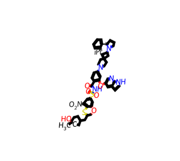 CC(C)c1ccccc1[C@H]1CCCN1C1CC2(CCN(c3ccc(C(=O)NS(=O)(=O)c4cc5c(c([N+](=O)[O-])c4)SC(CC4CCC(C)(O)CC4)CO5)c(Oc4cnc5[nH]ccc5c4)c3)CC2)C1